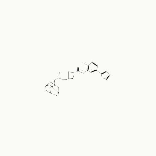 CN(CC1CN(C(=O)Nc2cc(-c3cccs3)ccc2N)C1)CC12CC3CC(CC(C3)C1)C2